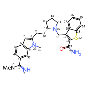 CNC(=N)c1ccc2cc(CC[C@@H]3CCCN3Cc3c(C(N)=O)sc4ccccc34)n(C)c2c1